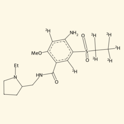 [2H]c1c(N)c(S(=O)(=O)C([2H])([2H])C([2H])([2H])[2H])c([2H])c(C(=O)NCC2CCCN2CC)c1OC